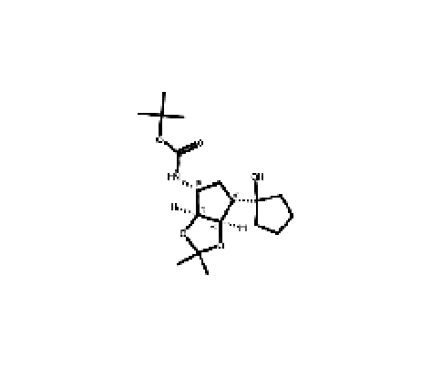 CC(C)(C)OC(=O)N[C@@H]1C[C@H](C2(O)CCCC2)[C@H]2OC(C)(C)O[C@H]21